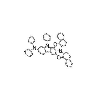 c1ccc(N(c2ccccc2)c2ccc3c4cc5c6c(c4n(-c4ccccc4)c3c2)Oc2c(ccc3ccccc23)B6c2ccc3ccccc3c2O5)cc1